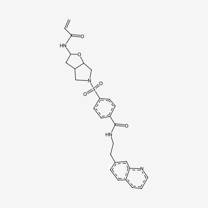 C=CC(=O)NC1CC2CN(S(=O)(=O)c3ccc(C(=O)NCCc4ccc5cccnc5c4)cc3)CC2O1